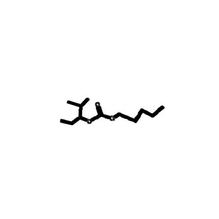 CCCCCOC(=O)OC(CC)C(C)C